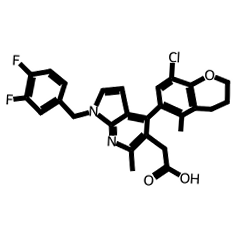 Cc1nc2c(ccn2Cc2ccc(F)c(F)c2)c(-c2cc(Cl)c3c(c2C)CCCO3)c1CC(=O)O